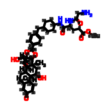 CC(C)(C)OC(=O)CC[C@H](NC(=O)CN)C(=O)NC1CCC(Cc2ccc([C@@H]3O[C@@H]4C[C@H]5[C@@H]6CCC7=CC(=O)C=C[C@]7(C)[C@H]6[C@@H](O)C[C@]5(C)[C@]4(C(=O)CO)O3)cc2)CC1